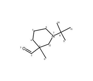 CC1(C=O)CCCN(C(C)(C)C)C1